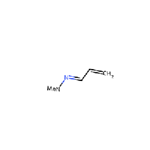 C=CC=NNC